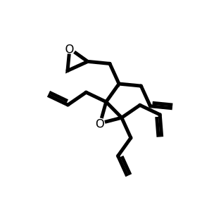 C=CC[C](CC1CO1)C1(CC=C)OC1(CC=C)CC=C